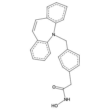 O=C(Cc1ccc(CN2c3ccccc3C=Cc3ccccc32)cc1)NO